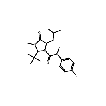 CC(C)CC1C(=O)N(C)C(C(C)(C)C)N1C(=O)N(C)c1ccc(Cl)cc1